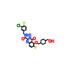 O=C(NCc1ccc(F)c(Cl)c1)c1nc2ccc(F)c(OCC3CCC(CO)CC3)c2c(=O)[nH]1